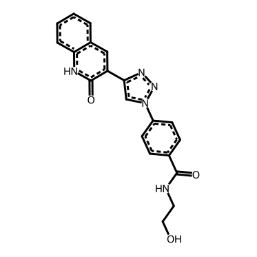 O=C(NCCO)c1ccc(-n2cc(-c3cc4ccccc4[nH]c3=O)nn2)cc1